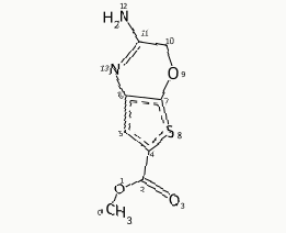 COC(=O)c1cc2c(s1)OCC(N)=N2